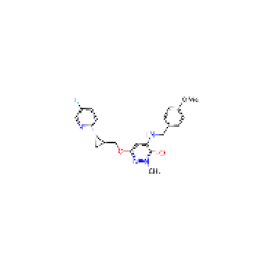 COc1ccc(CNc2cc(OC[C@H]3C[C@@H]3c3ccc(F)cn3)nn(C)c2=O)cc1